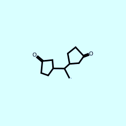 [CH2]C(C1CCC(=O)C1)C1CCC(=O)C1